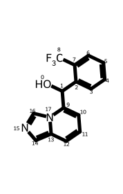 OC(c1ccccc1C(F)(F)F)c1cccc2cncn12